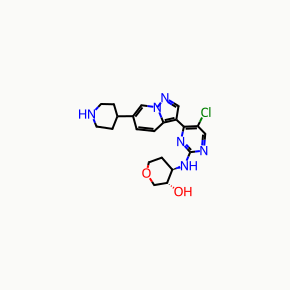 O[C@@H]1COCC[C@H]1Nc1ncc(Cl)c(-c2cnn3cc(C4CCNCC4)ccc23)n1